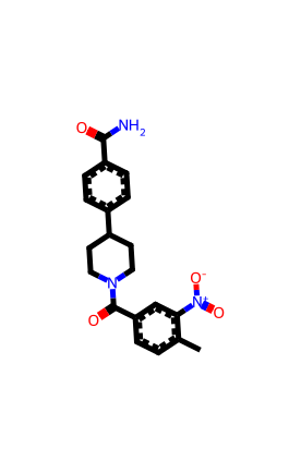 Cc1ccc(C(=O)N2CCC(c3ccc(C(N)=O)cc3)CC2)cc1[N+](=O)[O-]